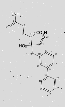 NC(=O)CCC(C(=O)O)C(O)(Cc1cccc(-c2ccccc2)c1)P=O